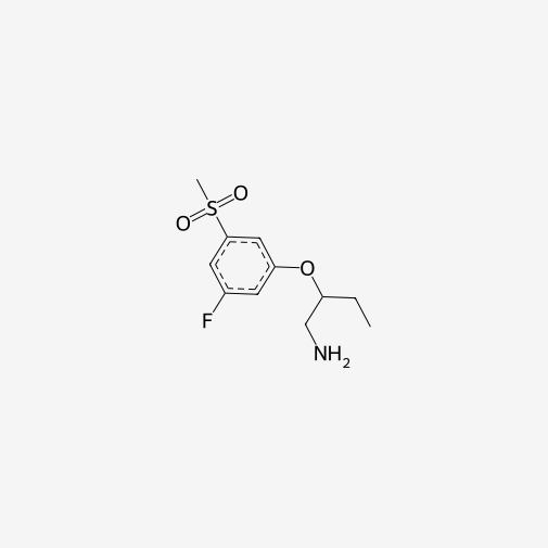 CCC(CN)Oc1cc(F)cc(S(C)(=O)=O)c1